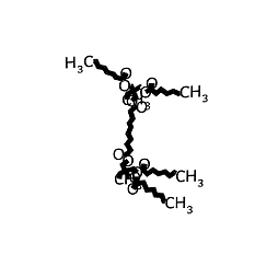 CCCCCCCC(=O)OCC(CC)(COC(=O)CCCCCC)COC(=O)CCCCCCCCC(=O)OCC(CC)(COC(=O)CCCCCCC)COC(=O)CCCCCCC